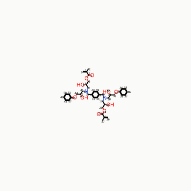 C=C(C)C(=O)OCC(O)CN(Cc1ccc(CN(CC(O)COC(=O)C(=C)C)CC(O)COc2ccccc2)cc1)CC(O)COc1ccccc1